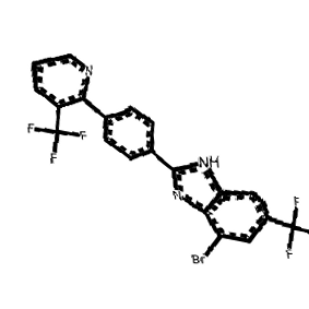 FC(F)(F)c1cc(Br)c2nc(-c3ccc(-c4ncccc4C(F)(F)F)cc3)[nH]c2c1